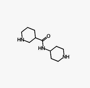 O=C(NC1CCNCC1)C1CCCNC1